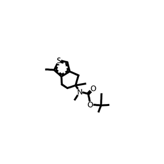 Cc1scc2c1CCC(C)(N(C)C(=O)OC(C)(C)C)C2